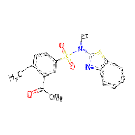 CCN(c1nc2ccccc2s1)S(=O)(=O)c1ccc(C)c(C(=O)OC)c1